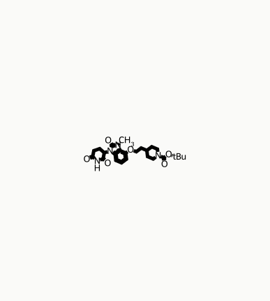 Cn1c(=O)n(C2CCC(=O)NC2=O)c2cccc(OCCC3CCN(C(=O)OC(C)(C)C)CC3)c21